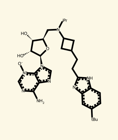 CC(C)N(C[C@H]1O[C@@H](n2cnc3c(N)nc[n+]([O-])c32)[C@H](O)[C@@H]1O)C1CC(CCc2nc3cc(C(C)(C)C)ccc3[nH]2)C1